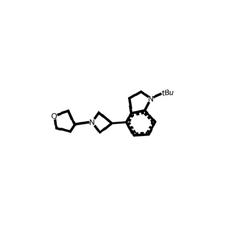 CC(C)(C)N1CCc2c(C3CN(C4CCOC4)C3)cccc21